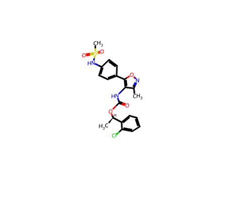 Cc1noc(-c2ccc(NS(C)(=O)=O)cc2)c1NC(=O)O[C@H](C)c1ccccc1Cl